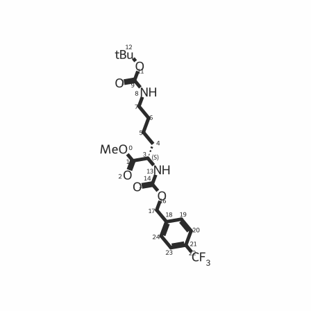 COC(=O)[C@H](CCCCNC(=O)OC(C)(C)C)NC(=O)OCc1ccc(C(F)(F)F)cc1